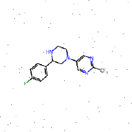 Fc1ccc(C2CN(c3cnc(C(F)(F)F)nc3)CCN2)cc1